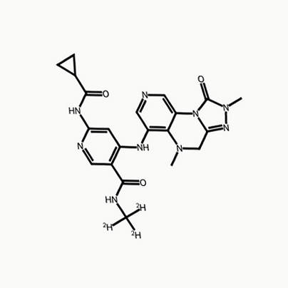 [2H]C([2H])([2H])NC(=O)c1cnc(NC(=O)C2CC2)cc1Nc1cncc2c1N(C)Cc1nn(C)c(=O)n1-2